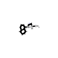 CN/C=C\Nc1cccc2ccccc12